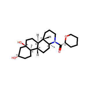 C[C@]12CC[C@H]3[C@@H](CC[C@@]4(O)C[C@@H](O)CC[C@]34C)[C@@H]1CCCN2C(=O)[C@H]1CCCCO1